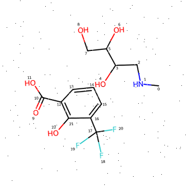 CNCC(O)C(O)CO.O=C(O)c1cccc(C(F)(F)F)c1O